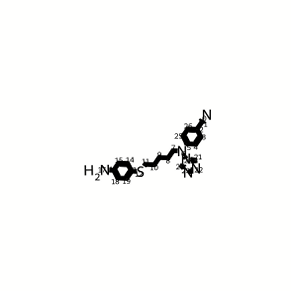 N#Cc1ccc(N(CCCCCSc2ccc(N)cc2)n2cnnc2)cc1